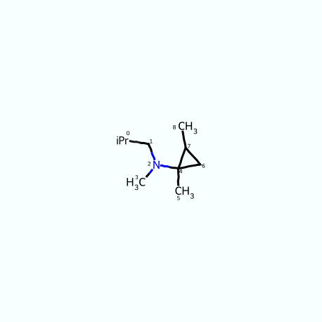 CC(C)CN(C)C1(C)CC1C